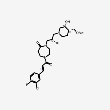 COC[C@@H]1CCN(C[C@H](O)CN2CCN(C(=O)/C=C/c3ccc(F)c(Cl)c3)CCC2=O)C[C@@H]1O